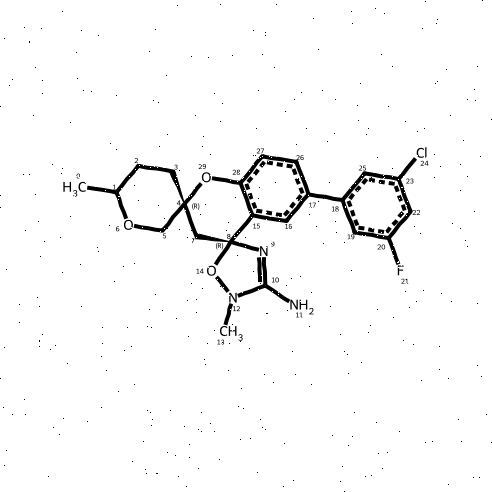 CC1CC[C@]2(CO1)C[C@]1(N=C(N)N(C)O1)c1cc(-c3cc(F)cc(Cl)c3)ccc1O2